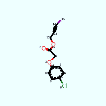 O=C(COc1ccc(Cl)cc1)OCC#CI